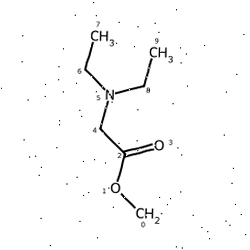 [CH2]OC(=O)CN(CC)CC